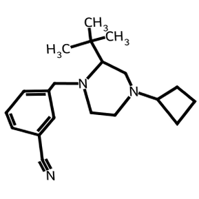 CC(C)(C)C1CN(C2CCC2)CCN1Cc1cccc(C#N)c1